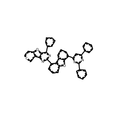 c1ccc(-c2cc(-c3cccc4c3oc3cccc(-c5nc(-c6ccccc6)c6oc7ccccc7c6n5)c34)nc(-c3ccccc3)n2)cc1